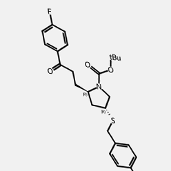 COc1ccc(CS[C@@H]2C[C@@H](CCC(=O)c3ccc(F)cc3)N(C(=O)OC(C)(C)C)C2)cc1